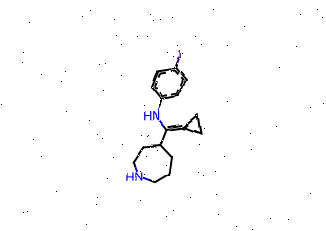 Ic1ccc(NC(=C2CC2)C2CCCNCC2)cc1